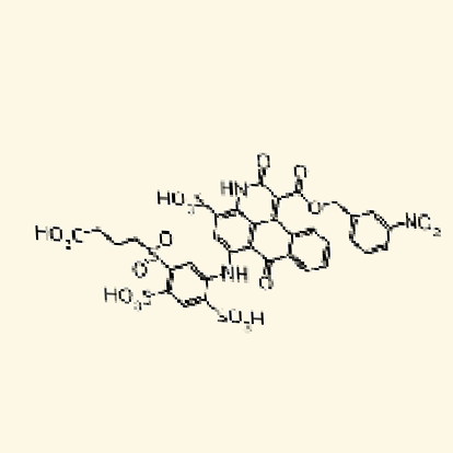 O=C(O)CCCS(=O)(=O)c1cc(Nc2cc(S(=O)(=O)O)c3[nH]c(=O)c(C(=O)OCc4cccc([N+](=O)[O-])c4)c4c3c2C(=O)c2ccccc2-4)c(S(=O)(=O)O)cc1S(=O)(=O)O